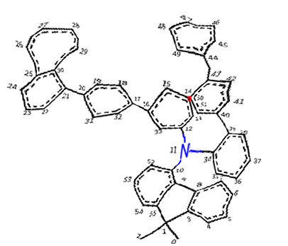 CC1(C)c2ccccc2-c2c(N(c3cccc(-c4ccc(-c5cccc6ccccc56)cc4)c3)c3ccccc3-c3ccc(-c4ccccc4)cc3)cccc21